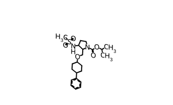 CC(C)OC(=O)N1CCC(NS(C)(=O)=O)C1COC1CCC(c2ccccc2)CC1